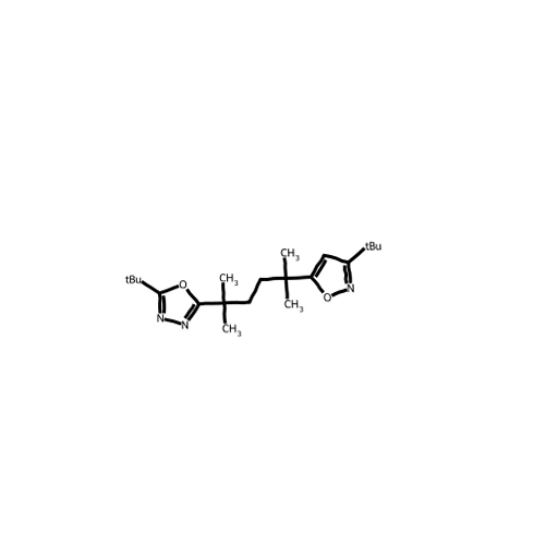 CC(C)(C)c1cc(C(C)(C)CCC(C)(C)c2nnc(C(C)(C)C)o2)on1